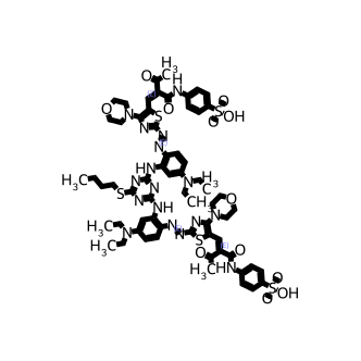 CCCCSc1nc(Nc2cc(N(CC)CC)ccc2/N=N/c2nc(N3CCOCC3)c(/C=C(/C(C)=O)C(=O)Nc3ccc(S(=O)(=O)O)cc3)s2)nc(Nc2cc(N(CC)CC)ccc2/N=N/c2nc(N3CCOCC3)c(/C=C(\C(C)=O)C(=O)Nc3ccc(S(=O)(=O)O)cc3)s2)n1